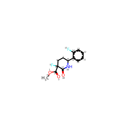 COC(=O)C1(F)CCC(c2ccccc2F)NC1=O